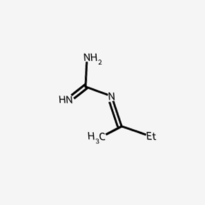 CC/C(C)=N/C(=N)N